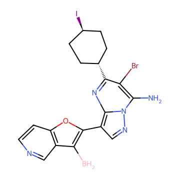 Bc1c(-c2cnn3c(N)c(Br)c([C@H]4CC[C@H](I)CC4)nc23)oc2ccncc12